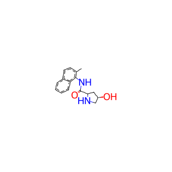 Cc1ccc2ccccc2c1NC(=O)C1C[C@@H](O)CN1